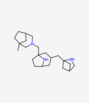 CC12CCC(CN(CC34CCC(CC(CC56CC(CN5)C6)C3)N4)C1)C2